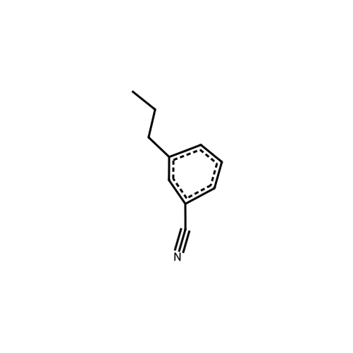 CCCc1cccc(C#N)c1